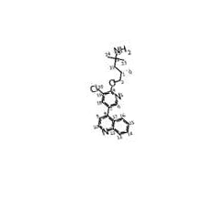 C[C@H](COc1ncc(-c2ccnc3ccccc23)cc1Cl)CC(C)(C)N